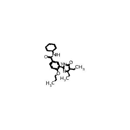 CCCOc1ccc(C(=O)NC2CCCCC2)cc1-c1nc(CC)c(CC)c(=O)[nH]1